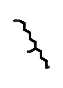 CCCCCCCCCCCC(O)CCCO